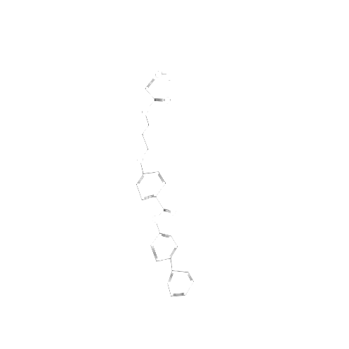 C=CC(=O)OCCCOc1ccc(C(=O)Oc2ccc(-c3ccccc3)cc2)cc1